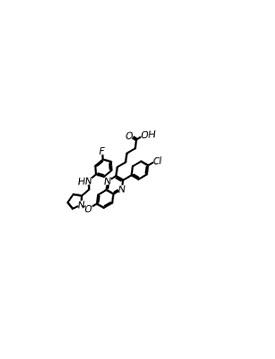 O=C(O)CCCCc1nc2cc(ON3CCCC3CNc3cccc(F)c3)ccc2nc1C1=CC=C(Cl)CC1